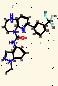 CCn1ncc2c(NC(=O)N3CCCNc4ccc(-c5cccc(C(F)(F)F)c5)nc43)cccc21